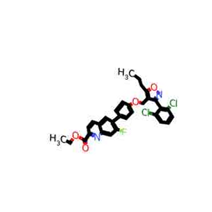 CCCc1onc(-c2c(Cl)cccc2Cl)c1COc1ccc(-c2cc3ccc(C(=O)OCC)nc3cc2F)cc1